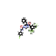 O=C(/C=C/c1ccc(F)cc1)N1CCN(C(=O)c2cc(C(F)(F)F)cc(C(F)(F)F)c2)[C@H](Cc2ccccc2)C1